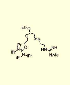 CCOC(CSSCCNC(=N)NC)OCCOP(N(C(C)C)C(C)C)N(C(C)C)C(C)C